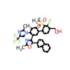 Cc1nc(-c2cc(-c3ccc(CO)c(F)c3S(C)(=O)=O)ccc2-n2cc(C(F)(F)F)nc2C)c(-c2ccc3ccccc3c2)o1